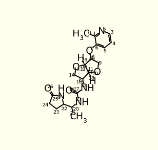 Cc1ncccc1O[C@H]1CO[C@H]2[C@@H]1OC[C@@H]2NC(=O)NC(C)C1CCC(=O)N1